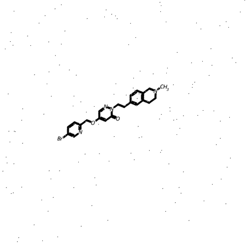 CN1CCc2cc(CCn3ncc(OCc4ccc(Br)cn4)cc3=O)ccc2C1